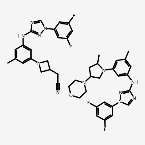 Cc1cc(Nc2ncn(-c3cc(F)cc(F)c3)n2)cc(N2CC(CC#N)C2)c1.Cc1cc(Nc2ncn(-c3cc(F)cc(F)c3)n2)cc(N2CC(N3CCOCC3)CC2C)c1